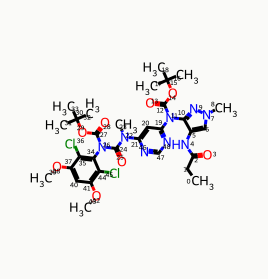 CCC(=O)Nc1cn(C)nc1N(C(=O)OC(C)(C)C)c1cc(N(C)C(=O)N(C(=O)OC(C)(C)C)c2c(Cl)c(OC)cc(OC)c2Cl)ncn1